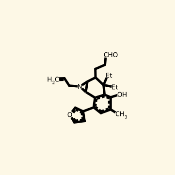 C=CCN1C2c3c(-c4ccoc4)cc(C)c(O)c3C(CC)(CC)C(CCC=O)C21